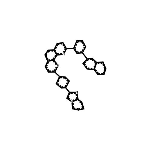 c1cc(-c2ccc3ccccc3c2)cc(-c2ccc3ccc4ccc(-c5ccc(-c6cn7ccccc7n6)cc5)nc4c3n2)c1